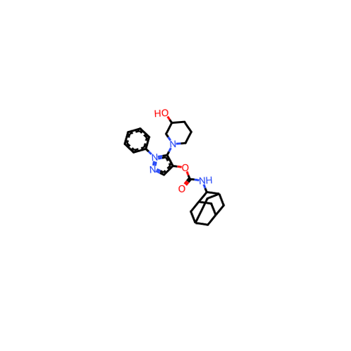 O=C(NC1C2CC3CC(C2)CC1C3)Oc1cnn(-c2ccccc2)c1N1CCCC(O)C1